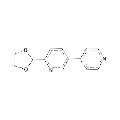 c1cc(-c2ccc(C3OCCO3)nc2)ccn1